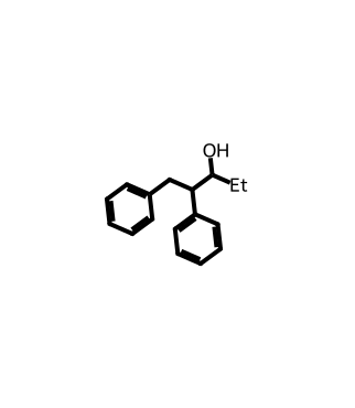 CCC(O)C(Cc1ccccc1)c1ccccc1